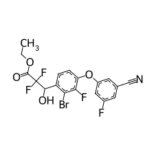 CCOC(=O)C(F)(F)C(O)c1ccc(Oc2cc(F)cc(C#N)c2)c(F)c1Br